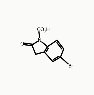 O=C(O)N1C(=O)Cc2cc(Br)ccc21